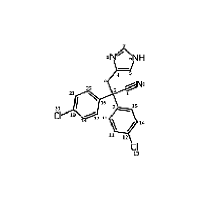 N#CC(Cc1c[nH]cn1)(c1ccc(Cl)cc1)c1ccc(Cl)cc1